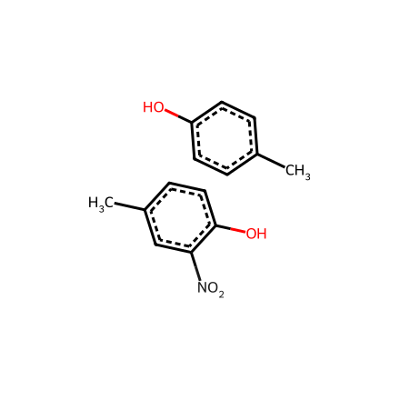 Cc1ccc(O)c([N+](=O)[O-])c1.Cc1ccc(O)cc1